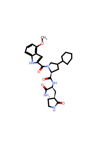 COc1cccc2[nH]c(C(=O)N3CC(C4CCCCC4)C[C@H]3C(=O)N[C@@H](C[C@@H]3CCNC3=O)C(N)=O)cc12